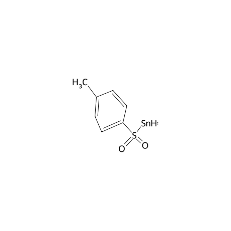 Cc1ccc([S](=O)(=O)[SnH])cc1